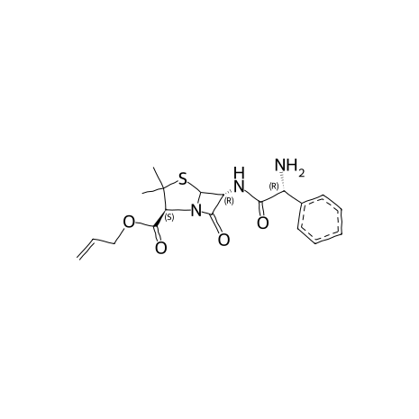 C=CCOC(=O)[C@@H]1N2C(=O)[C@@H](NC(=O)[C@H](N)c3ccccc3)C2SC1(C)C